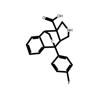 O=C(O)C12CNCC1C1(c3ccc(F)cc3)CCC2c2ccccc21